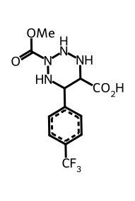 COC(=O)N1NNC(C(=O)O)C(c2ccc(C(F)(F)F)cc2)N1